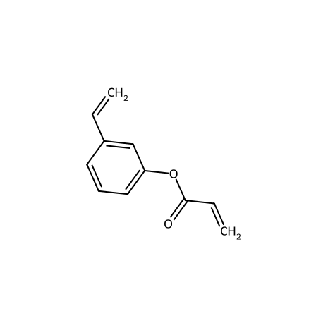 C=CC(=O)Oc1cccc(C=C)c1